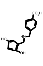 O=C(O)c1ccc(CNCc2cc(O)ccc2O)cc1